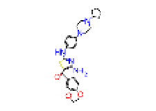 Nc1nc(Nc2ccc(N3CCN(C4CCCC4)CC3)cc2)sc1C(=O)c1ccc2c(c1)OCCO2